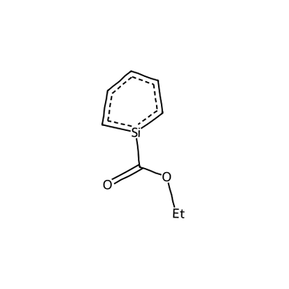 CCOC(=O)[si]1ccccc1